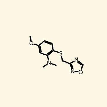 COc1ccc(SCc2ncon2)c(N(C)C)c1